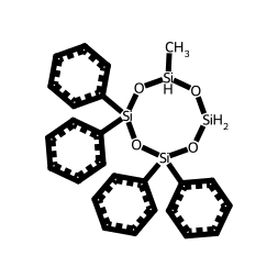 C[SiH]1O[SiH2]O[Si](c2ccccc2)(c2ccccc2)O[Si](c2ccccc2)(c2ccccc2)O1